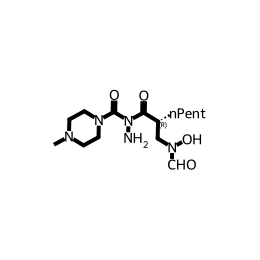 CCCCC[C@H](CN(O)C=O)C(=O)N(N)C(=O)N1CCN(C)CC1